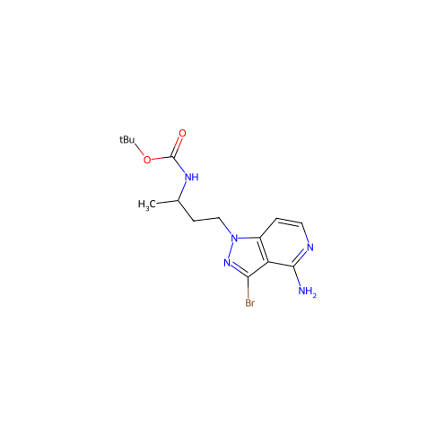 CC(CCn1nc(Br)c2c(N)nccc21)NC(=O)OC(C)(C)C